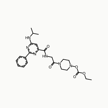 CCOC(=O)ON1CCN(C(=O)CNC(=O)c2cc(NC(C)C)nc(-c3ccccc3)n2)CC1